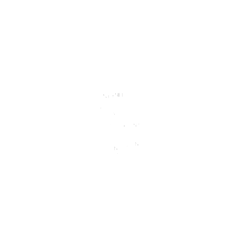 c1cc(-c2cn[nH]c2)c2nc[nH]c2n1